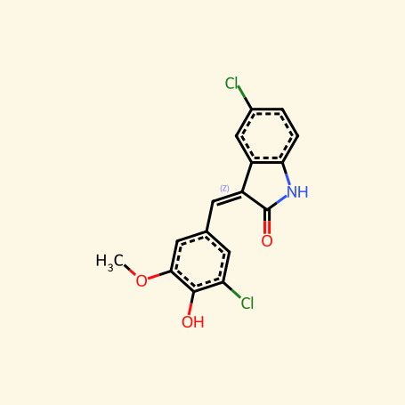 COc1cc(/C=C2\C(=O)Nc3ccc(Cl)cc32)cc(Cl)c1O